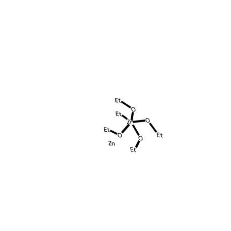 CC[O][Zr]([CH2]C)([O]CC)([O]CC)[O]CC.[Zn]